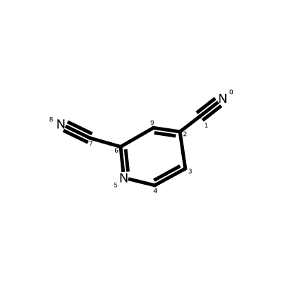 N#Cc1ccnc(C#N)c1